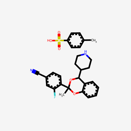 CC1(c2ccc(C#N)cc2F)Oc2ccccc2C(C2CCNCC2)O1.Cc1ccc(S(=O)(=O)O)cc1